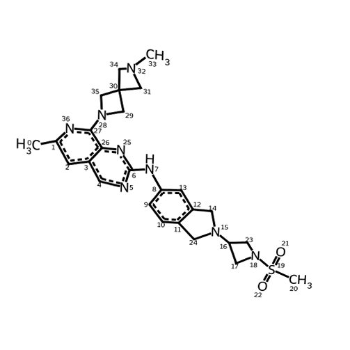 Cc1cc2cnc(Nc3ccc4c(c3)CN(C3CN(S(C)(=O)=O)C3)C4)nc2c(N2CC3(CN(C)C3)C2)n1